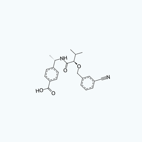 CC(C)[C@@H](OCc1cccc(C#N)c1)C(=O)N[C@@H](C)c1ccc(C(=O)O)cc1